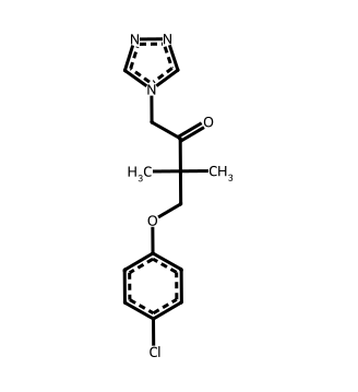 CC(C)(COc1ccc(Cl)cc1)C(=O)Cn1cnnc1